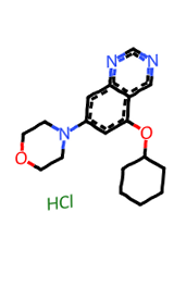 Cl.c1ncc2c(OC3CCCCC3)cc(N3CCOCC3)cc2n1